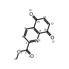 COC(=O)c1ccc2c(n1)C(=O)C=CC2=O